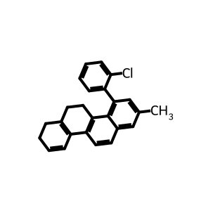 Cc1cc(-c2ccccc2Cl)c2c3c(ccc2c1)C1=C(CCC=C1)CC3